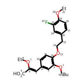 CCCCOc1cc(C=C(OCC)C(=O)O)ccc1OCCc1ccc(OCC)c(F)c1